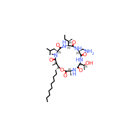 CCCCCCCCCC[C@H]1OC(=O)[C@H](C)NC(=O)[C@H]([C@H](C)O)NC(=O)[C@H](CN)NC(=O)[C@H]([C@H](C)CC)NC(=O)[C@H](CC(C)C)N(C)C(=O)[C@@H]1C